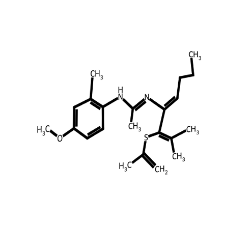 C=C(C)SC(=C(C)C)C(=C/CCC)/N=C(\C)Nc1ccc(OC)cc1C